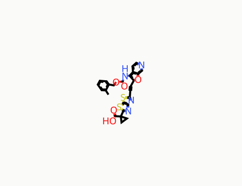 Cc1ccccc1COC(=O)Nc1c(C#Cc2nc3nc(C4(C(=O)O)CC4)sc3s2)oc2cnccc12